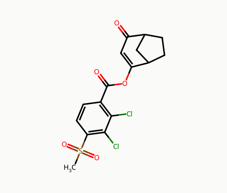 CS(=O)(=O)c1ccc(C(=O)OC2=CC(=O)C3CCC2C3)c(Cl)c1Cl